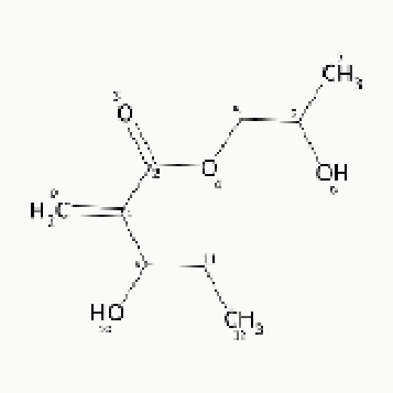 C=C(C(=O)OCC(C)O)C(O)CC